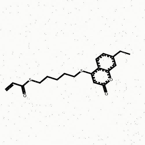 C=CC(=O)SCCCCCSc1cc(=O)oc2cc(CC)ccc12